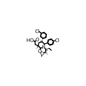 CC[C@@H]([C@H](C)OC)N1C(=O)[C@@](C)(CC(=O)O)C[C@H](c2cccc(Cl)c2)C1c1ccc(Cl)cc1